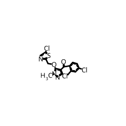 Cn1ncc(C(=O)c2ccc(Cl)cc2Cl)c1OCc1ncc(Cl)s1